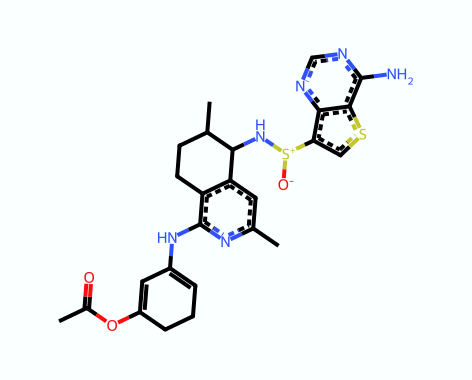 CC(=O)OC1=CC(Nc2nc(C)cc3c2CCC(C)C3N[S+]([O-])c2csc3c(N)ncnc23)=CCC1